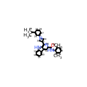 Cc1cccc(C)c1NC(=O)c1cc2c([nH]c3ccccc32)c(C2CN(c3cccc(C(C)C)c3)C2)n1